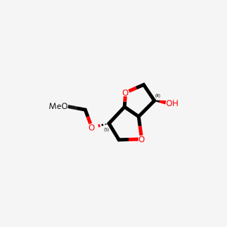 COCO[C@H]1COC2C1OC[C@H]2O